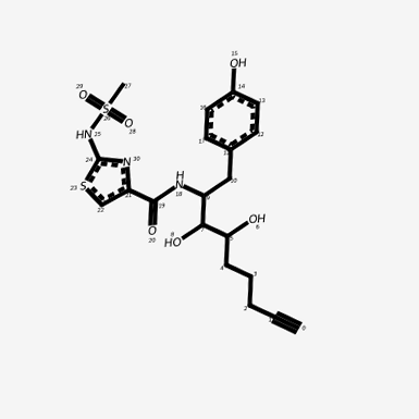 C#CCCCC(O)C(O)C(Cc1ccc(O)cc1)NC(=O)c1csc(NS(C)(=O)=O)n1